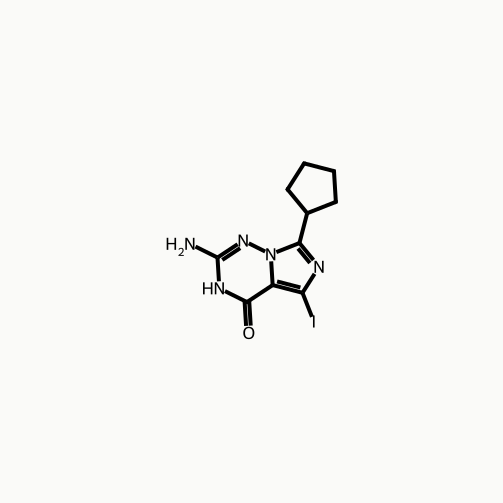 Nc1nn2c(C3CCCC3)nc(I)c2c(=O)[nH]1